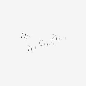 [Co+2].[Ni+2].[Ti+4].[Zn+2]